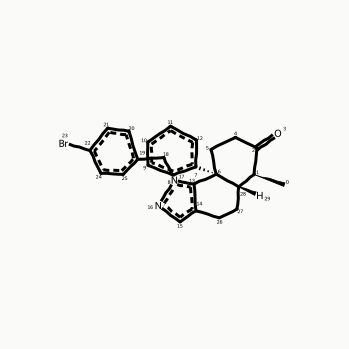 C[C@@H]1C(=O)CC[C@]2(c3ccccc3)c3c(cnn3Cc3ccc(Br)cc3)CC[C@@H]12